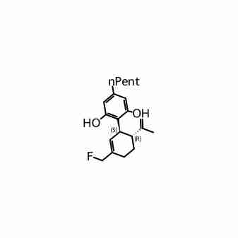 C=C(C)[C@@H]1CCC(CF)=C[C@H]1c1c(O)cc(CCCCC)cc1O